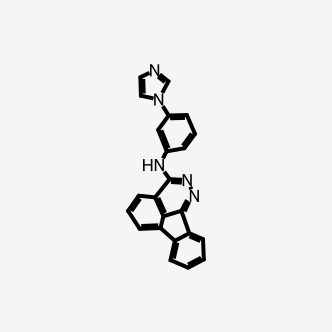 c1cc(Nc2nnc3c4c(cccc24)-c2ccccc2-3)cc(-n2ccnc2)c1